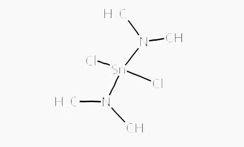 C[N](C)[Sn]([Cl])([Cl])[N](C)C